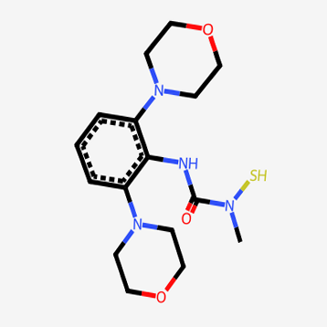 CN(S)C(=O)Nc1c(N2CCOCC2)cccc1N1CCOCC1